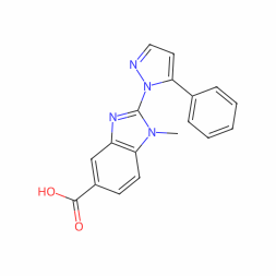 Cn1c(-n2nccc2-c2ccccc2)nc2cc(C(=O)O)ccc21